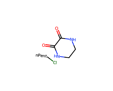 CCCCCCl.O=C1NCCNC1=O